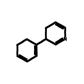 C1=CCCC(C2C=NC=CC2)=C1